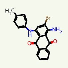 Cc1ccc(Nc2cc(Br)c(N)c3c2C(=O)c2ccccc2C3=O)cc1